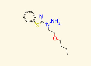 CCCCOCCN(N)c1nc2ccccc2s1